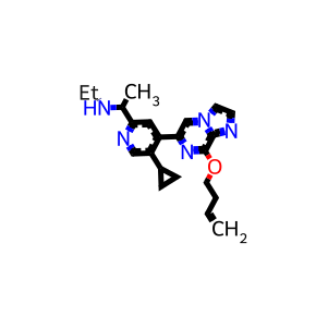 C=CCCOc1nc(-c2cc(C(C)NCC)ncc2C2CC2)cn2ccnc12